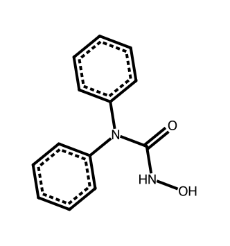 O=C(NO)N(c1ccccc1)c1ccccc1